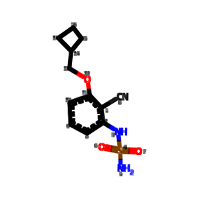 N#Cc1c(NS(N)(=O)=O)cccc1OCC1CCC1